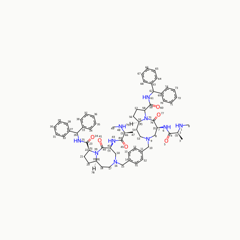 CN[C@@H](C)C(=O)N[C@H]1CN(Cc2ccc(CN3CC[C@H]4CC[C@@H](C(=O)NC(c5ccccc5)c5ccccc5)N4C(=O)[C@@H](NC(=O)[C@H](C)NC)C3)cc2)CC[C@H]2CCC(C(=O)NC(c3ccccc3)c3ccccc3)N2C1=O